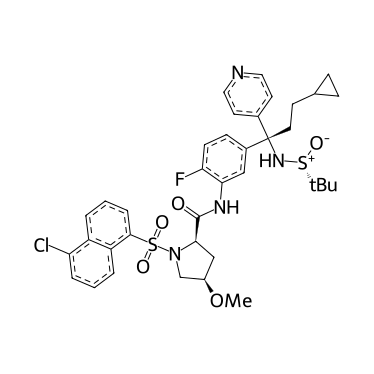 CO[C@@H]1C[C@H](C(=O)Nc2cc([C@@](CCC3CC3)(N[S@+]([O-])C(C)(C)C)c3ccncc3)ccc2F)N(S(=O)(=O)c2cccc3c(Cl)cccc23)C1